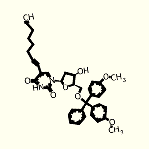 C#CCCCCC#Cc1cn([C@H]2C[C@H](O)[C@@H](COC(c3ccccc3)(c3ccc(OC)cc3)c3ccc(OC)cc3)O2)c(=O)[nH]c1=O